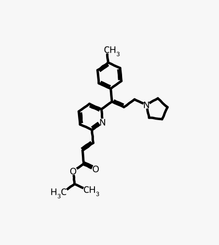 Cc1ccc(/C(=C\CN2CCCC2)c2cccc(/C=C/C(=O)OC(C)C)n2)cc1